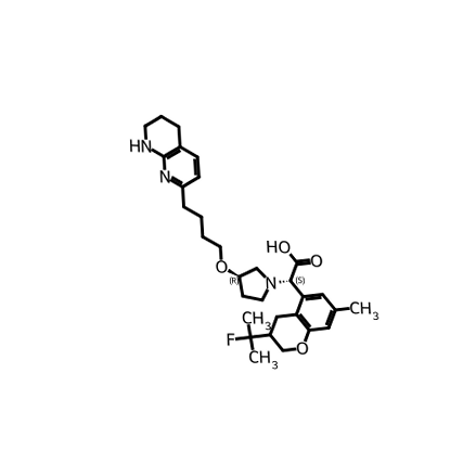 Cc1cc2c(c([C@@H](C(=O)O)N3CC[C@@H](OCCCCc4ccc5c(n4)NCCC5)C3)c1)CC(C(C)(C)F)CO2